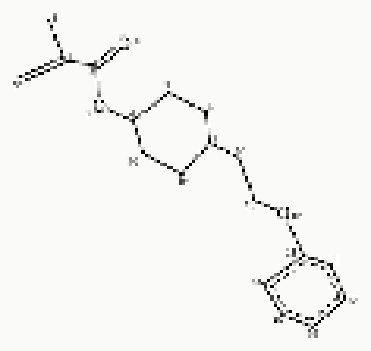 C=C(C)C(=O)OC1CCC(CCOc2ccccc2)CC1